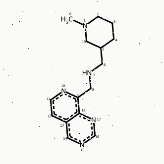 CN1CCCC(CNCc2nccc3cncnc23)C1